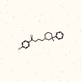 CC1(c2ccccc2)CCCN(CCCC(=O)c2ccc(F)cc2)C1